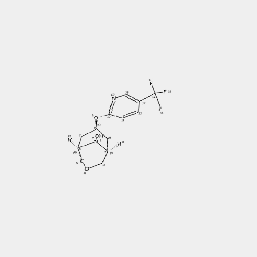 ON1[C@@H]2COC[C@H]1C[C@@H](Oc1ccc(C(F)(F)F)cn1)C2